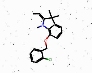 CC=C1N(C)c2c(OCc3ccccc3Cl)cccc2C1(C)C